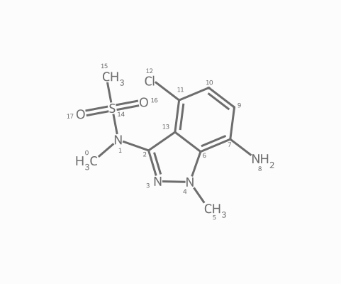 CN(c1nn(C)c2c(N)ccc(Cl)c12)S(C)(=O)=O